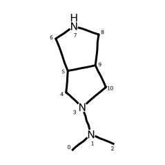 CN(C)N1CC2CNCC2C1